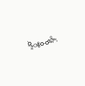 Cc1ccc(NC2CCN(S(=O)(=O)c3ccc(-c4ccc5[nH]c(C(N)=O)cc5c4)cc3)CC2)nc1